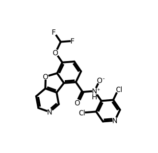 O=C(c1ccc(OC(F)F)c2oc3ccncc3c12)[NH+]([O-])c1c(Cl)cncc1Cl